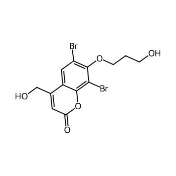 O=c1cc(CO)c2cc(Br)c(OCCCO)c(Br)c2o1